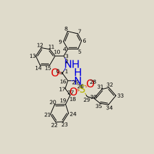 O=C(NC(c1ccccc1)c1ccccc1)C(CCc1ccccc1)NS(=O)(=O)Cc1ccccc1